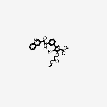 CCOC(=O)COc1c(C(=O)OC)sc(-c2cccc(NC(=O)c3cnc4ccccc4c3)c2)c1Br